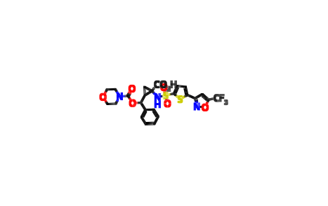 O=C(OC(c1ccccc1)C1CC1(NS(=O)(=O)c1ccc(-c2cc(C(F)(F)F)on2)s1)C(=O)O)N1CCOCC1